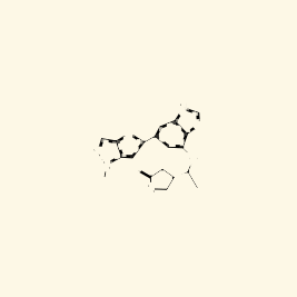 CC(Oc1cc(-c2cc3c(cnn3C)s2)cc2ncsc12)[C@H]1CNC(=O)C1